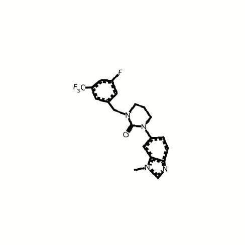 Cn1cnc2ccc(N3CCCN(Cc4cc(F)cc(C(F)(F)F)c4)C3=O)cc21